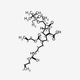 C=CCOC(=O)NCCCN(CC1=C(C(=O)O)N2C(=O)[C@H]([C@@H](C)O[Si](C)(C)C(C)(C)C)[C@H]2C1)C(=O)OCC=C